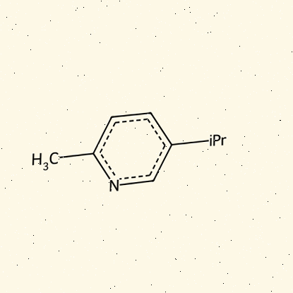 Cc1ccc(C(C)C)cn1